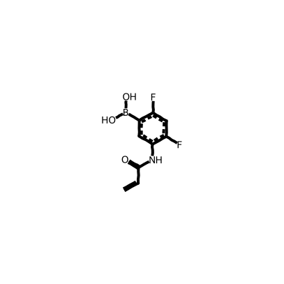 C=CC(=O)Nc1cc(B(O)O)c(F)cc1F